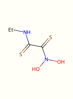 CCNC(=S)C(=S)N(O)O